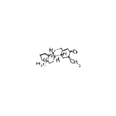 C=C1C[C@H]2C(=CC1=O)CC[C@@H]1[C@@H]2CC[C@]2(C)CCC[C@@H]12